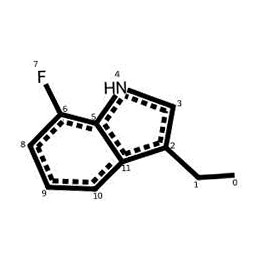 CCc1c[nH]c2c(F)cccc12